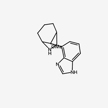 COC1(c2cccc3[nH]cnc23)C2CCCC1NC2